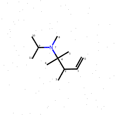 C=CC(C)C(C)(C)N(C)C(C)C